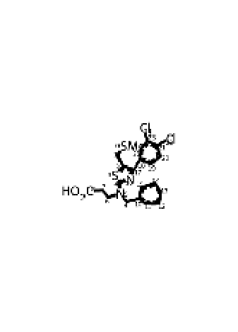 CSCc1sc(N(CCC(=O)O)Cc2ccccc2)nc1-c1ccc(Cl)c(Cl)c1